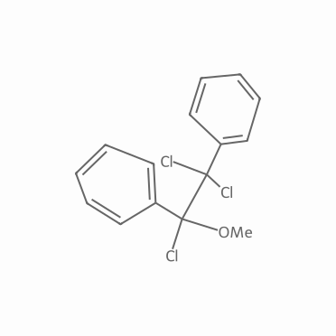 COC(Cl)(c1ccccc1)C(Cl)(Cl)c1ccccc1